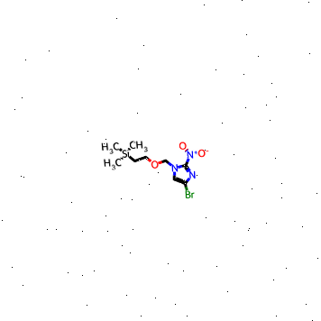 C[Si](C)(C)CCOCn1cc(Br)nc1[N+](=O)[O-]